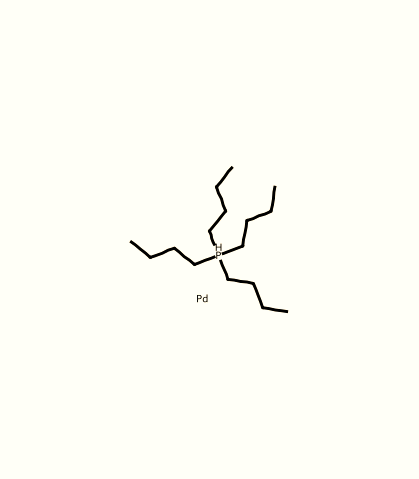 CCCC[PH](CCCC)(CCCC)CCCC.[Pd]